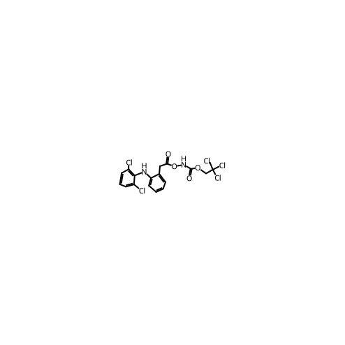 O=C(Cc1ccccc1Nc1c(Cl)cccc1Cl)ONC(=O)OCC(Cl)(Cl)Cl